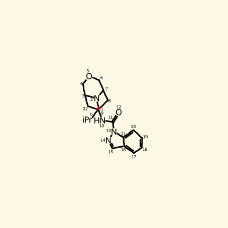 CC(C)CN1C2COCC1CC(NC(=O)n1ncc3ccccc31)C2